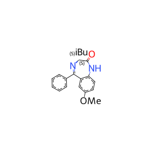 CC[C@H](C)[C@@H]1N=C(c2ccccc2)c2cc(OC)ccc2NC1=O